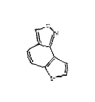 c1cc2c(ccc3conc32)s1